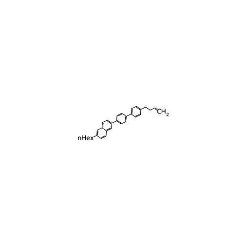 C=CCCc1ccc(-c2ccc(-c3ccc4cc(CCCCCC)ccc4c3)cc2)cc1